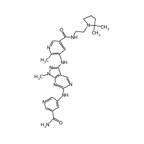 Cc1ncc(C(=O)NCCN2CCCC2(C)C)cc1Nc1nn(C)c2nc(Nc3cncc(C(N)=O)c3)ncc12